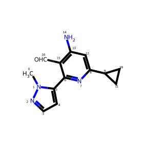 Cn1nccc1-c1nc(C2CC2)cc(N)c1C=O